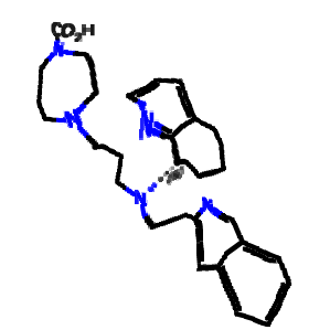 O=C(O)N1CCN(CCCN(Cc2cc3ccccc3cn2)[C@H]2CCCc3cccnc32)CC1